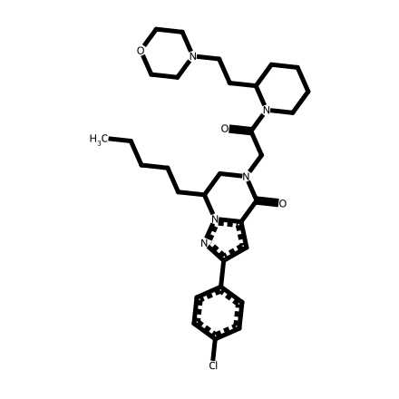 CCCCCC1CN(CC(=O)N2CCCCC2CCN2CCOCC2)C(=O)c2cc(-c3ccc(Cl)cc3)nn21